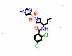 CCCC(NC(=O)c1ccc(Cl)cc1Cl)C1CN(S(=O)(=O)c2cn(C)cn2)C1